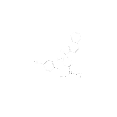 CN(C(=O)[C@H](Cc1ccc(C#N)cc1)NS(=O)(=O)c1ccc2ccccc2c1)C1CC1